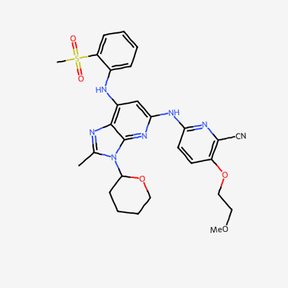 COCCOc1ccc(Nc2cc(Nc3ccccc3S(C)(=O)=O)c3nc(C)n(C4CCCCO4)c3n2)nc1C#N